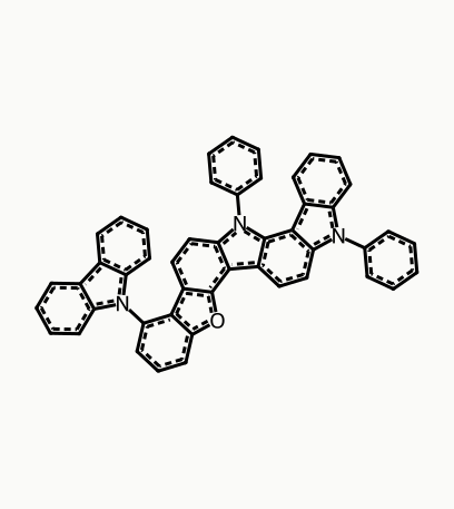 c1ccc(-n2c3ccccc3c3c2ccc2c4c5oc6cccc(-n7c8ccccc8c8ccccc87)c6c5ccc4n(-c4ccccc4)c23)cc1